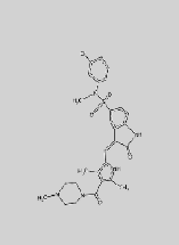 Cc1[nH]c(C=C2C(=O)Nc3ccc(S(=O)(=O)N(C)c4cccc(Cl)c4)cc32)c(C)c1C(=O)N1CCN(C)CC1